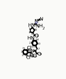 N#C/N=C(\N)N[C@H]1CC[C@H](C(=O)Nc2ccc(C[C@H](NC(=O)c3c(Cl)cccc3Cl)C(=O)O)cc2)C1